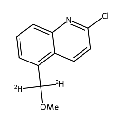 [2H]C([2H])(OC)c1cccc2nc(Cl)ccc12